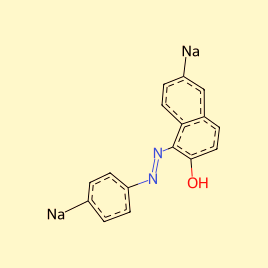 Oc1ccc2c[c]([Na])ccc2c1N=Nc1cc[c]([Na])cc1